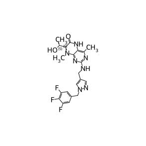 Cc1nc(NCc2cnn(Cc3cc(F)c(F)c(F)c3)c2)nc2c1NC(=O)[C@H]([C@H](C)O)N2C